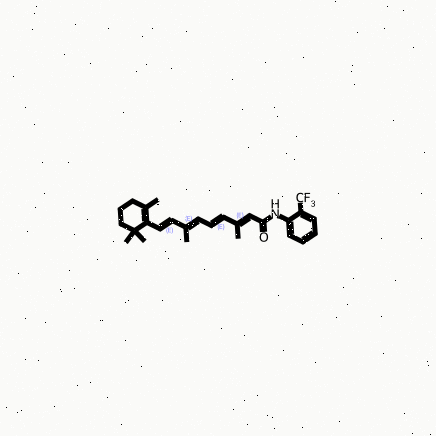 CC1=C(/C=C/C(C)=C/C=C/C(C)=C/C(=O)Nc2ccccc2C(F)(F)F)C(C)(C)CCC1